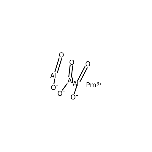 [O]=[Al][O-].[O]=[Al][O-].[O]=[Al][O-].[Pm+3]